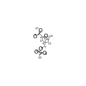 COC(=O)C12CC(COS(C)(=O)=O)(CCO1)C2